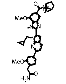 COc1cc(-c2ccc3cc(-c4nc5cc(C(=O)N6CC7CCC6[C@@H]7C)cc(OC)c5n4C)n(CC4CC4)c3n2)ccc1CC(N)=O